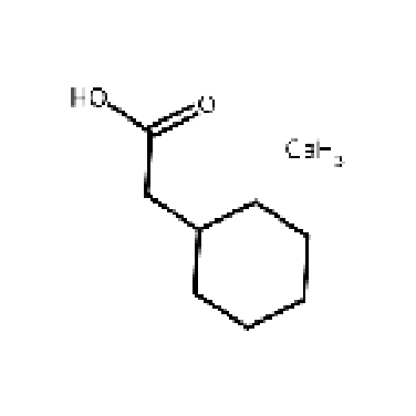 O=C(O)CC1CCCCC1.[GaH3]